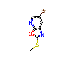 CSc1nc2cc(Br)cnc2o1